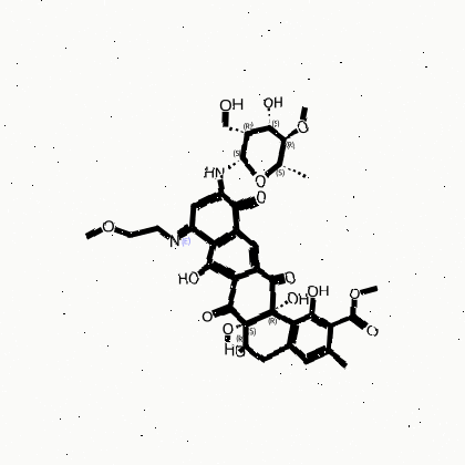 COCC/N=C1\C=C(N[C@H]2O[C@@H](C)[C@H](OC)[C@@H](O)[C@H]2CO)C(=O)c2cc3c(c(O)c21)C(=O)[C@]1(OC)[C@H](O)Cc2cc(C)c(C(=O)OC)c(O)c2[C@]1(O)C3=O